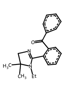 CCN1C(c2ccccc2C(=O)c2ccccc2)=NCC1(C)C